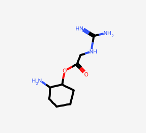 N=C(N)NCC(=O)OC1CCCCC1N